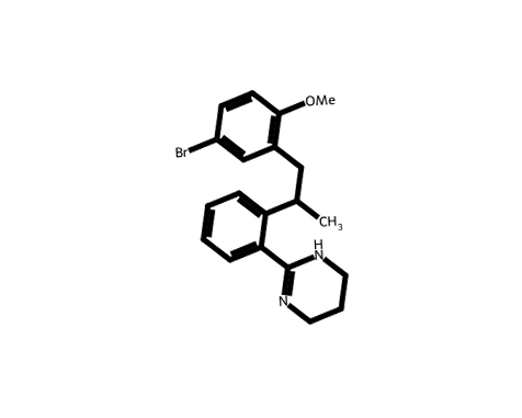 COc1ccc(Br)cc1CC(C)c1ccccc1C1=NCCCN1